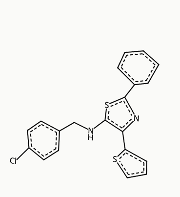 Clc1ccc(CNc2sc(-c3ccccc3)nc2-c2cccs2)cc1